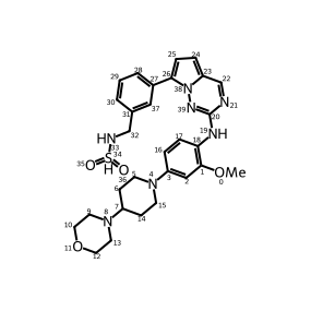 COc1cc(N2CCC(N3CCOCC3)CC2)ccc1Nc1ncc2ccc(-c3cccc(CN[SH](=O)=O)c3)n2n1